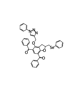 O=C(c1ccccc1)c1cc(C(=O)c2ccccc2)c2c(c1OCc1cn(-c3ccccc3)nn1)CC(C[Se]c1ccccc1)O2